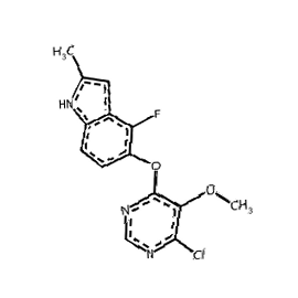 COc1c(Cl)ncnc1Oc1ccc2[nH]c(C)cc2c1F